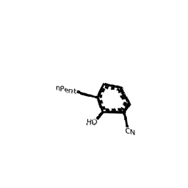 CCCCCc1cccc(C#N)c1O